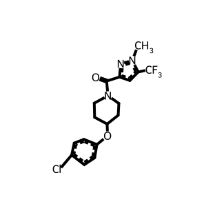 Cn1nc(C(=O)N2CCC(Oc3ccc(Cl)cc3)CC2)cc1C(F)(F)F